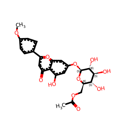 COc1ccc(-c2cc(=O)c3c(O)cc(O[C@@H]4O[C@H](COC(C)=O)[C@@H](O)[C@H](O)[C@H]4O)cc3o2)cc1